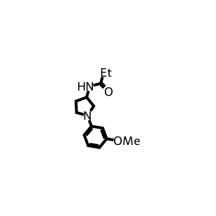 CCC(=O)NC1CCN(c2cccc(OC)c2)C1